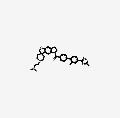 Cc1nnc(-c2ccc(-c3ccc(C(=O)N4CCc5cc6c(cc54)C4(CCN(CCN(C)C)CC4)CO6)cc3)c(C)c2)o1